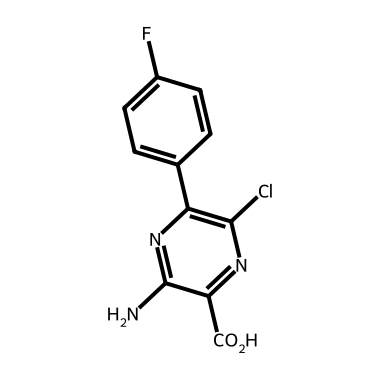 Nc1nc(-c2ccc(F)cc2)c(Cl)nc1C(=O)O